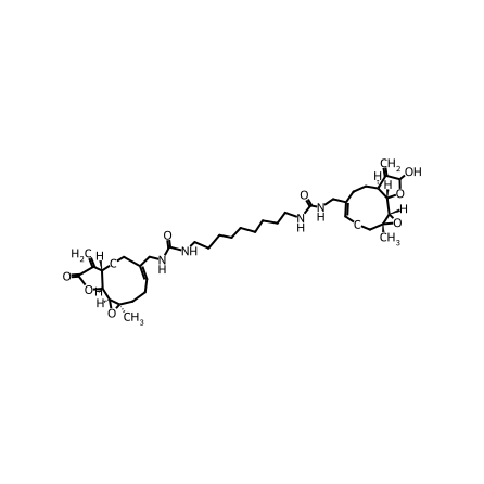 C=C1C(=O)O[C@H]2[C@H]1CC/C(CNC(=O)NCCCCCCCCCNC(=O)NC/C1=C/CC[C@@]3(C)O[C@H]3[C@H]3OC(O)C(=C)[C@@H]3CC1)=C\CC[C@@]1(C)O[C@@H]21